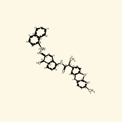 Cc1ccc2c(n1)Oc1ccc(C(C)C(=O)Oc3cccc4c3C=CC(=NNc3cccc5ccccc35)C4=O)cc1C2